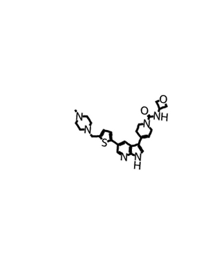 CN1CCN(Cc2ccc(-c3cnc4[nH]cc(C5=CCN(C(=O)NC6COC6)CC5)c4c3)s2)CC1